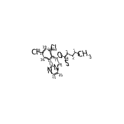 CCCCC(=S)OC(Cn1ccnc1)c1ccc(Cl)cc1Cl